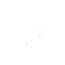 [Ce].[Er].[SrH2].[Ti].[Zr]